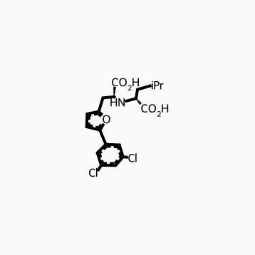 CC(C)C[C@H](N[C@@H](Cc1ccc(-c2cc(Cl)cc(Cl)c2)o1)C(=O)O)C(=O)O